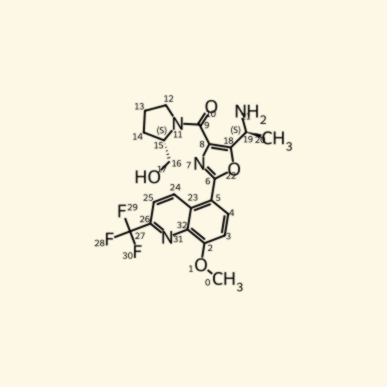 COc1ccc(-c2nc(C(=O)N3CCC[C@H]3CO)c([C@H](C)N)o2)c2ccc(C(F)(F)F)nc12